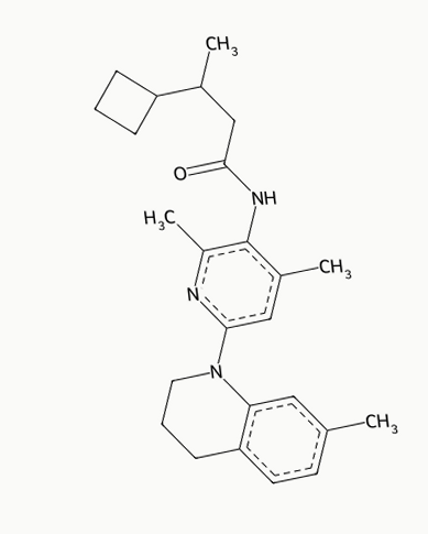 Cc1ccc2c(c1)N(c1cc(C)c(NC(=O)CC(C)C3CCC3)c(C)n1)CCC2